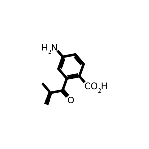 C=C(C)C(=O)c1cc(N)ccc1C(=O)O